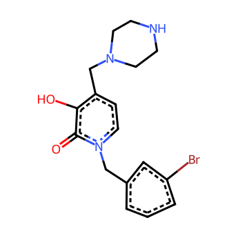 O=c1c(O)c(CN2CCNCC2)ccn1Cc1cccc(Br)c1